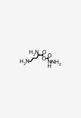 NCCC[C@@H](N)C(=O)OC(=O)NN